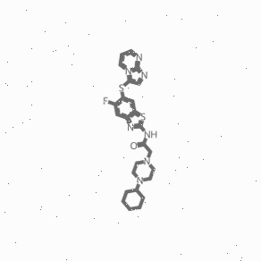 O=C(CN1CCN(C2CCCCC2)CC1)Nc1nc2cc(F)c(Sc3cnc4ncccn34)cc2s1